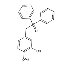 COc1ccc(CP(=O)(c2ccccc2)c2ccccc2)cc1O